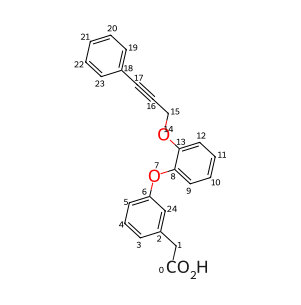 O=C(O)Cc1cccc(Oc2ccccc2OCC#Cc2ccccc2)c1